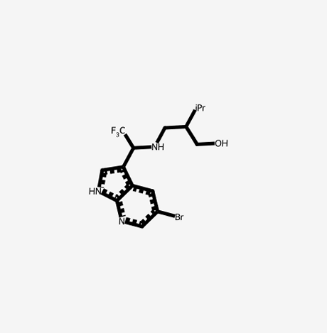 CC(C)C(CO)CNC(c1c[nH]c2ncc(Br)cc12)C(F)(F)F